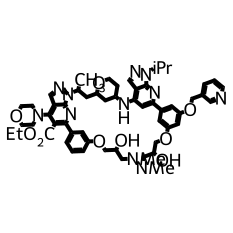 CCOC(=O)c1c(-c2cccc(OCC(O)CNC)c2)nc2c(cnn2C(C)CC2CC(Nc3cc(-c4cc(OCc5cccnc5)cc(OCC(O)CNC)c4)nc4c3cnn4C(C)C)CCO2)c1N1CCOCC1